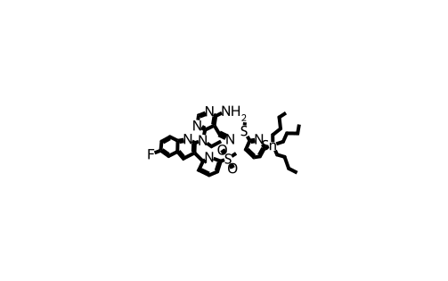 CCC[CH2][Sn]([CH2]CCC)([CH2]CCC)[c]1cccc(SC)n1.CCN(c1nc2ccc(F)cc2cc1-c1cccc(S(C)(=O)=O)n1)c1ncnc(N)c1C#N